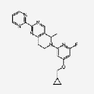 CC1c2cnc(-c3ncccn3)nc2CCN1c1cc(OCC2CC2)cc(F)n1